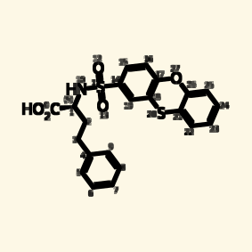 O=C(O)[C@H](CCc1ccccc1)NS(=O)(=O)c1ccc2c(c1)Sc1ccccc1O2